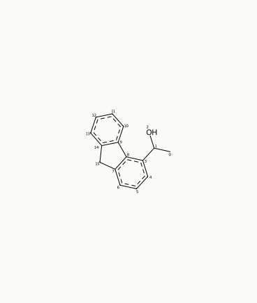 CC(O)c1cccc2c1-c1ccccc1C2